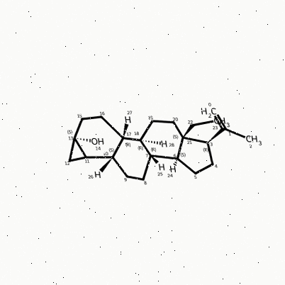 C=C(C)[C@H]1CC[C@H]2[C@@H]3CC[C@@H]4C5C[C@@]5(O)CC[C@@H]4[C@H]3CC[C@]12CC